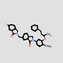 COc1ccc(N2Cc3ccc(CN4Cc5ccc(F)cc5C4=O)cc3C2=O)cc1OC(C)CCc1ccccc1